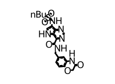 CCCCS(=O)(=O)Nc1c[nH]c2c(C(=O)NCc3ccc4c(c3)NC(=O)CO4)ncnc12